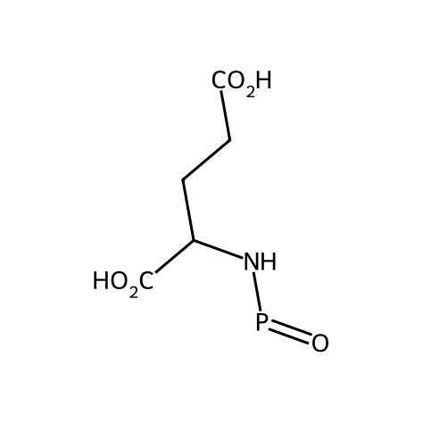 O=PNC(CCC(=O)O)C(=O)O